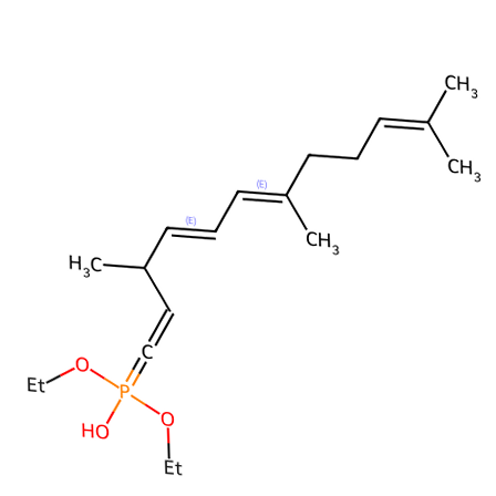 CCOP(O)(=C=CC(C)/C=C/C=C(\C)CCC=C(C)C)OCC